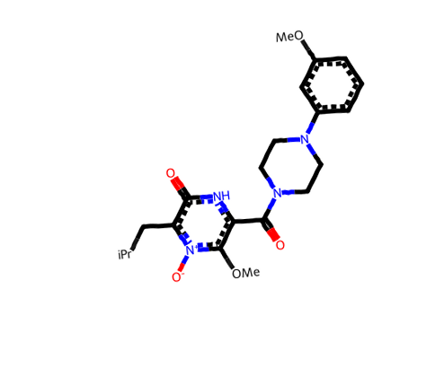 COc1cccc(N2CCN(C(=O)c3[nH]c(=O)c(CC(C)C)[n+]([O-])c3OC)CC2)c1